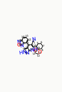 N#CC1=C(C2CCCCC23OCCO3)Nc2n[nH]cc2C1c1cccc2nonc12